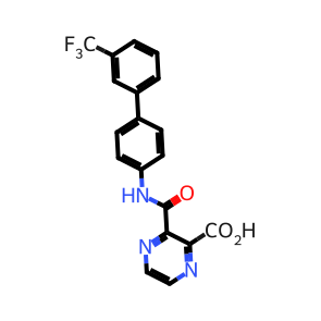 O=C(O)c1nccnc1C(=O)Nc1ccc(-c2cccc(C(F)(F)F)c2)cc1